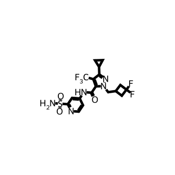 NS(=O)(=O)c1cc(NC(=O)c2c(C(F)(F)F)c(C3CC3)nn2CC2CC(F)(F)C2)ccn1